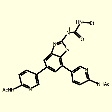 CCNC(=O)Nc1nc2cc(-c3ccc(NC(C)=O)nc3)cc(-c3ccc(NC(C)=O)nc3)c2s1